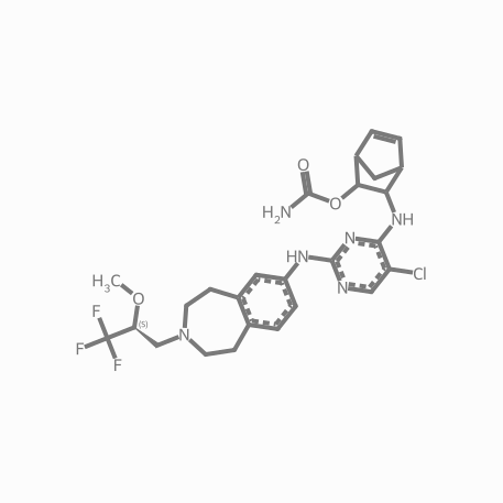 CO[C@@H](CN1CCc2ccc(Nc3ncc(Cl)c(NC4C5C=CC(C5)C4OC(N)=O)n3)cc2CC1)C(F)(F)F